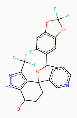 CC(OC1(c2cccnc2)CCC(O)c2[nH]nc(C(F)(F)F)c21)c1cc2c(cc1F)OC(F)(F)O2